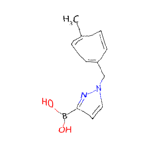 Cc1ccc(Cn2ccc(B(O)O)n2)cc1